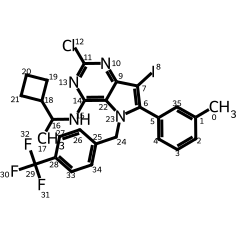 Cc1cccc(-c2c(I)c3nc(Cl)nc(NC(C)C4CCC4)c3n2Cc2ccc(C(F)(F)F)cc2)c1